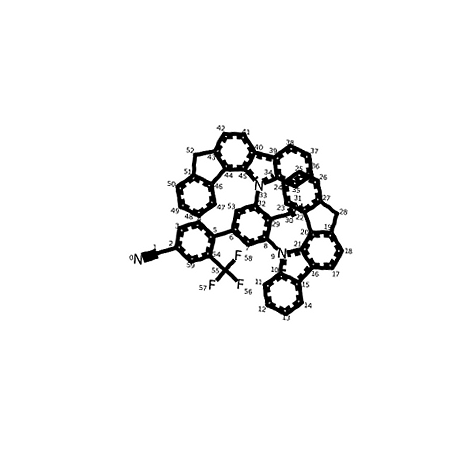 N#Cc1ccc(-c2cc(-n3c4ccccc4c4ccc5c(c43)-c3ccccc3C5)c(C#N)c(-n3c4ccccc4c4ccc5c(c43)-c3ccccc3C5)c2)c(C(F)(F)F)c1